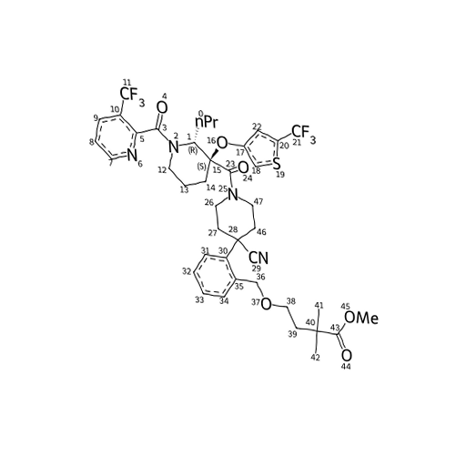 CCC[C@H]1N(C(=O)c2ncccc2C(F)(F)F)CCC[C@@]1(Oc1csc(C(F)(F)F)c1)C(=O)N1CCC(C#N)(c2ccccc2COCCC(C)(C)C(=O)OC)CC1